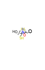 O=C(N[C@@H](CCS)C(=O)O)[C@H](CS)Cc1ccccc1